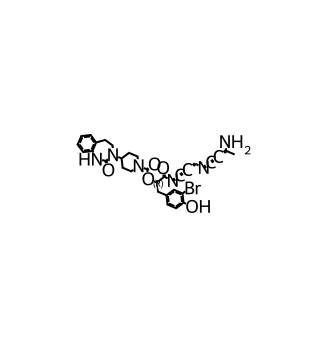 CC(N)=C=C=NC=C=C=NC(=O)[C@@H](Cc1ccc(O)c(Br)c1)OC(=O)N1CCC(N2CCc3ccccc3NC2=O)CC1